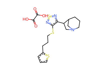 O=C(O)C(=O)O.c1csc(CCCSc2nsnc2C2CN3CCCC2C3)c1